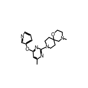 Cc1cc(Oc2cccnc2)nc(N2CCC3(CC2)CN(C)CCO3)n1